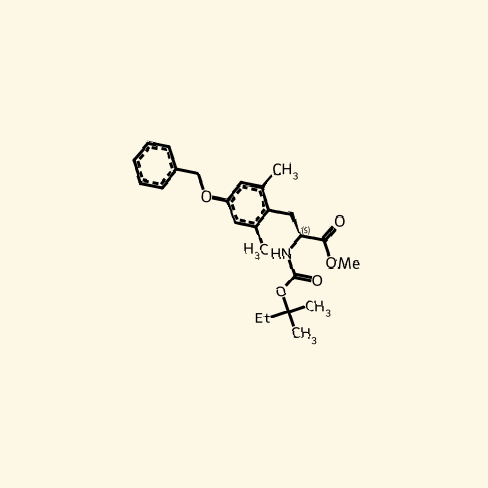 CCC(C)(C)OC(=O)N[C@@H](Cc1c(C)cc(OCc2ccccc2)cc1C)C(=O)OC